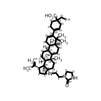 C=C(C)[C@@H]1CC[C@]2(NCCN3CCNC3=O)CC[C@]3(C)[C@H](CC[C@@H]4[C@@]5(C)CC=C(C6=CCC(CF)(C(=O)O)CC6)C(C)(C)[C@@H]5CC[C@]43C)[C@@H]12